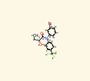 CCC1Oc2cc(C(F)(F)F)ccc2N(c2cccc(Br)c2)C1=O